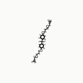 CC(C)(c1ccc(OCCCOCC2CC2)cc1)c1ccc(OCCCOCC2CC2)cc1